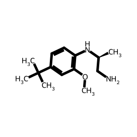 COc1cc(C(C)(C)C)ccc1N[C@@H](C)CN